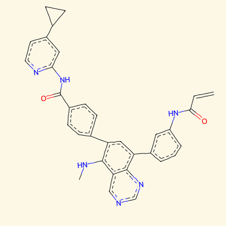 C=CC(=O)Nc1cccc(-c2cc(-c3ccc(C(=O)Nc4cc(C5CC5)ccn4)cc3)c(NC)c3cncnc23)c1